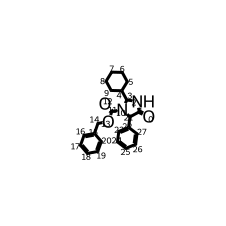 O=C1NC(C2CCCCC2)N(C(=O)OCc2ccccc2)C1c1ccccc1